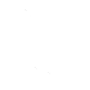 c1ccc(Nc2ccc(-c3ccc(OC4CCNCC4)cc3)cn2)cc1